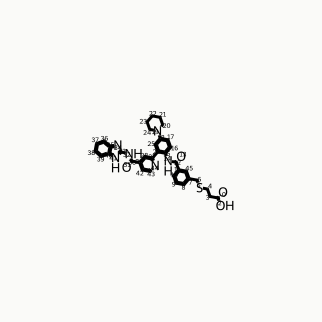 O=C(O)CCSCc1cccc(C(=O)Nc2ccc(N3CCCCC3)cc2-c2cc(C(=O)Nc3nc4ccccc4[nH]3)ccn2)c1